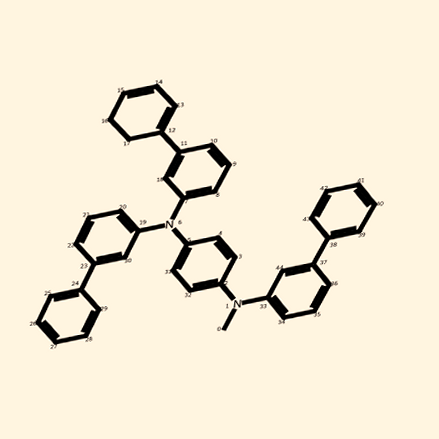 CN(c1ccc(N(c2cccc(C3=CC=CCC3)c2)c2cccc(-c3ccccc3)c2)cc1)c1cccc(-c2ccccc2)c1